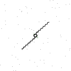 CCCCCCCCCCC=Cc1cc(Br)c(C=CCCCCCCCCCC)cc1Br